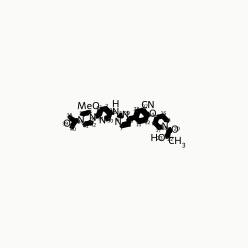 COc1cc(Nc2nccc(-c3ccc(OC4CCN(C(=O)[C@H](C)O)CC4)c(C#N)c3)n2)cnc1N1CCN(C2COC2)CC1